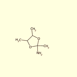 CC1OC(C)(N)OC1C